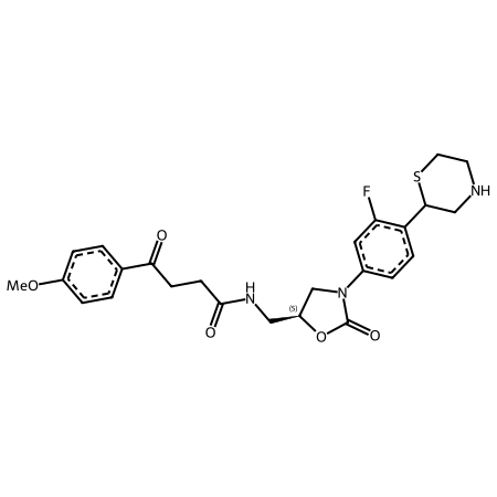 COc1ccc(C(=O)CCC(=O)NC[C@H]2CN(c3ccc(C4CNCCS4)c(F)c3)C(=O)O2)cc1